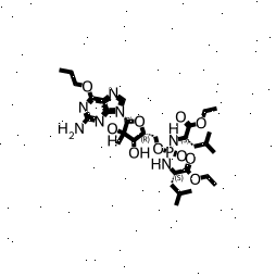 CCCOc1nc(N)nc2c1ncn2[C@@H]1O[C@H](COP(=O)(N[C@@H](CC(C)C)C(=O)OCC)N[C@@H](CC(C)C)C(=O)OCC)C(O)C1(C)O